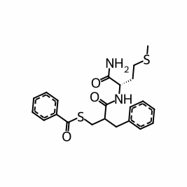 CSCC[C@H](NC(=O)C(CSC(=O)c1ccccc1)Cc1ccccc1)C(N)=O